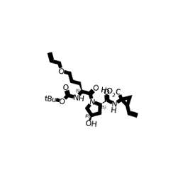 C=CCOCCC[C@H](NC(=O)OC(C)(C)C)C(=O)N1C[C@H](O)C[C@H]1C(=O)NC1(C(=O)O)CC1C=C